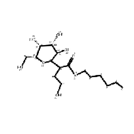 CCCCCCNC(=O)C(CCO)C1O[C@H](CO)[C@H](O)[C@H](O)[C@H]1O